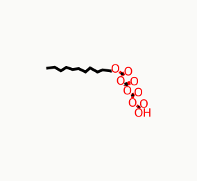 CCCCCCCCCCCOC(=O)OC(=O)OC(=O)OC(=O)O